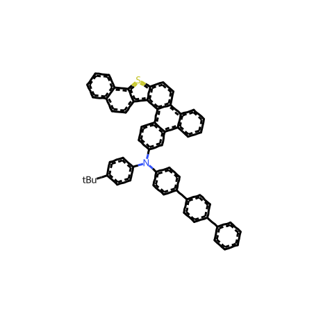 CC(C)(C)c1ccc(N(c2ccc(-c3ccc(-c4ccccc4)cc3)cc2)c2ccc3c(c2)c2ccccc2c2ccc4sc5c6ccccc6ccc5c4c23)cc1